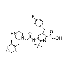 CO[C@@H](CO)c1nc2c(cc1Cc1ccc(F)cc1)N(C(=O)CN1C[C@@H](C)NC[C@@H]1CN1[C@H](C)COC[C@H]1C)CC2(C)C